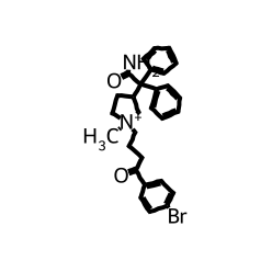 C[N+]1(CCCC(=O)c2ccc(Br)cc2)CCC(C(C(N)=O)(c2ccccc2)c2ccccc2)C1